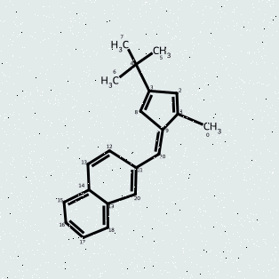 CC1=CC(C(C)(C)C)=C/C1=C\c1ccc2ccccc2c1